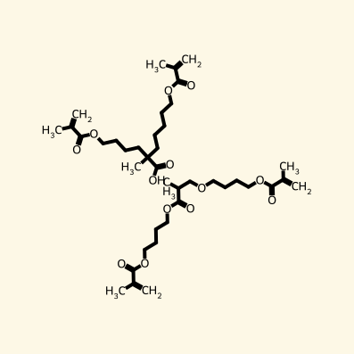 C=C(C)C(=O)OCCCCCC(C)(CCCCOC(=O)C(=C)C)C(=O)O.C=C(C)C(=O)OCCCCOCC(C)C(=O)OCCCCOC(=O)C(=C)C